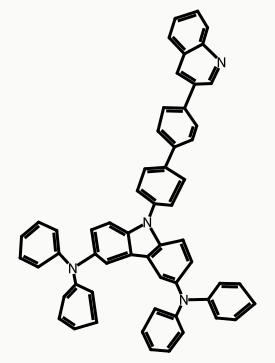 c1ccc(N(c2ccccc2)c2ccc3c(c2)c2cc(N(c4ccccc4)c4ccccc4)ccc2n3-c2ccc(-c3ccc(-c4cnc5ccccc5c4)cc3)cc2)cc1